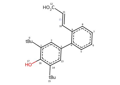 CC(C)(C)c1cc(-c2ccccc2/C=C/C(=O)O)cc(C(C)(C)C)c1O